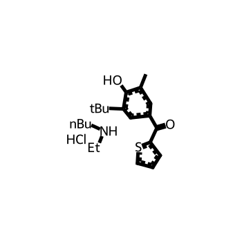 CCCCNCC.Cc1cc(C(=O)c2cccs2)cc(C(C)(C)C)c1O.Cl